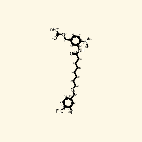 CCCC(=O)OCc1ccc(N(C)C)c(NC(=O)CCCCCCCOCc2ccc(C(F)(F)F)c(F)c2)c1